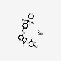 CC(C)(c1ccc(COc2cccc3c2CN([C@H]2CCC(=O)NC2=O)C3=O)cc1)N1CCOCC1.O=CO